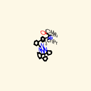 CCC[N+]1(C)N=C(C(C)(C)C)C(C(=O)OC)=C1c1ccc(-c2ccccc2-c2nnn(C(c3ccccc3)(c3ccccc3)c3ccccc3)n2)cc1